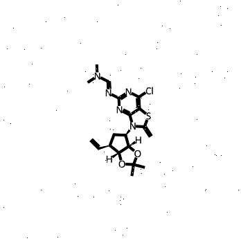 C=C[C@H]1C[C@@H](N2C(=C)Sc3c(Cl)nc(/N=C/N(C)C)nc32)[C@@H]2OC(C)(C)O[C@@H]21